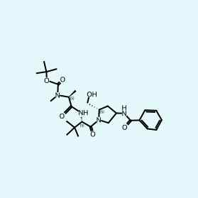 C[C@@H](C(=O)N[C@H](C(=O)N1CC(NC(=O)c2ccccc2)C[C@H]1CO)C(C)(C)C)N(C)C(=O)OC(C)(C)C